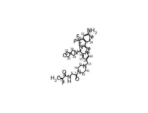 C=C(F)C(=O)NCC(=O)N1CCN(Cc2cc3c(N4CC5(COC5)C4)nc(-c4cnc(N)cc4C(F)(F)F)nn3c2)CC1